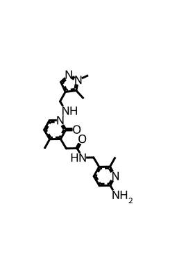 Cc1ccn(NCc2cnn(C)c2C)c(=O)c1CC(=O)NCc1ccc(N)nc1C